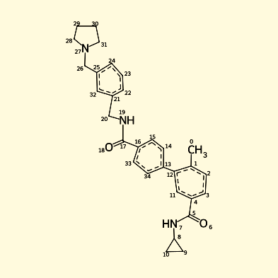 Cc1ccc(C(=O)NC2CC2)cc1-c1ccc(C(=O)NCc2cccc(CN3CCCC3)c2)cc1